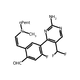 CCCCCN(C)/C=C\c1cc(-c2nc(N)ncc2C(F)F)c(F)cc1C=O